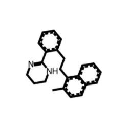 Cc1ccc2ccccc2c1CCc1ccccc1C1=NCCCN1